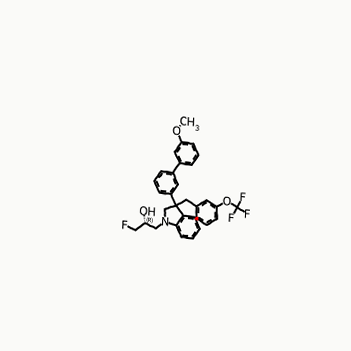 COc1cccc(-c2cccc(C3(Cc4cccc(OC(F)(F)F)c4)CN(C[C@@H](O)CF)c4ccccc43)c2)c1